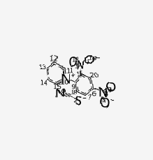 N#C[S-].O=[N+]([O-])c1ccc(-[n+]2ccccc2)c([N+](=O)[O-])c1